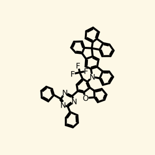 FC(F)(F)c1cc(-c2nc(-c3ccccc3)nc(-c3ccccc3)n2)c2oc3ccccc3c2c1-n1c2ccccc2c2cc3c(cc21)-c1ccccc1C31c2ccccc2-c2ccccc21